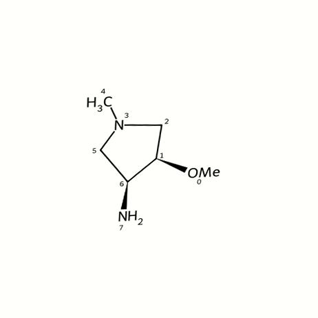 CO[C@@H]1CN(C)C[C@@H]1N